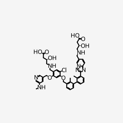 CNc1cncc(COc2cc(OCc3cccc(-c4cccc(-c5nc6ccc(CNC[C@@H](O)CC(=O)O)cn6n5)c4C)c3C)c(Cl)cc2CNC[C@@H](O)CC(=O)O)c1